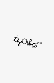 C[C@@H]1CN(C(=O)N2CCCN(C(=O)Nc3cc(C(C)(C)C)on3)CC2)C[C@H](C)O1